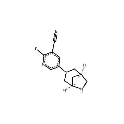 N#Cc1cc(N2C[C@H]3CN[C@H](C3)C2)cnc1F